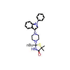 CCCCC1(N2CCN(c3cn(-c4ccccc4)c4ccccc34)CC2)NC(=O)C(C)(C)S1